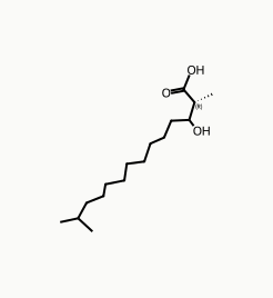 CC(C)CCCCCCCCCC(O)[C@@H](C)C(=O)O